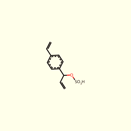 C=Cc1ccc(C(C=C)OS(=O)(=O)O)cc1